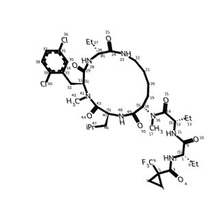 CC[C@H](NC(=O)C1(C(F)(F)F)CC1)C(=O)N[C@@H](CC)C(=O)N(C)[C@H]1CCCCNC(=O)[C@@H](CC)NC(=O)[C@H](Cc2cc(Cl)ccc2Cl)N(C)C(=O)[C@H](CC(C)C)NC1=O